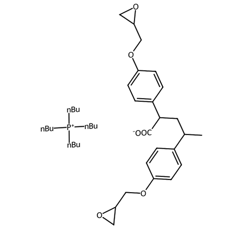 CC(CC(C(=O)[O-])c1ccc(OCC2CO2)cc1)c1ccc(OCC2CO2)cc1.CCCC[P+](CCCC)(CCCC)CCCC